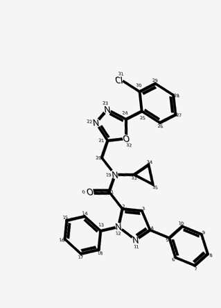 O=C(c1cc(-c2ccccc2)nn1-c1ccccc1)N(Cc1nnc(-c2ccccc2Cl)o1)C1CC1